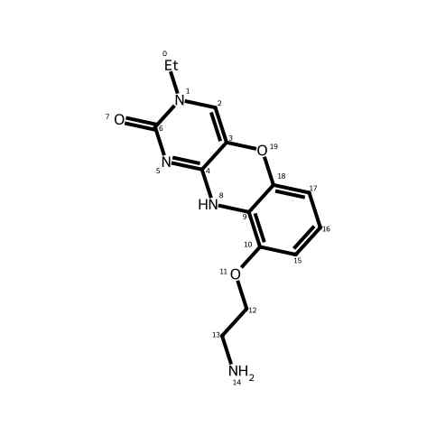 CCn1cc2c(nc1=O)Nc1c(OCCN)cccc1O2